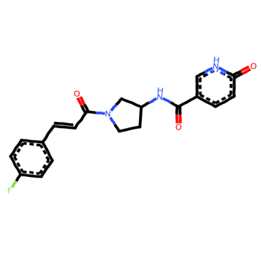 O=C(NC1CCN(C(=O)C=Cc2ccc(F)cc2)C1)c1ccc(=O)[nH]c1